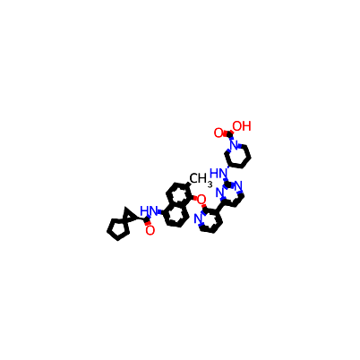 Cc1ccc2c(NC(=O)[C@@H]3CC34CCCC4)cccc2c1Oc1ncccc1-c1ccnc(N[C@H]2CCCN(C(=O)O)C2)n1